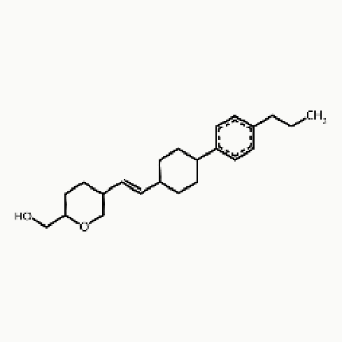 CCCc1ccc(C2CCC(/C=C/C3CCC(CO)OC3)CC2)cc1